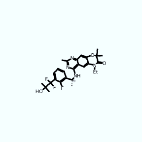 CCN1C(=O)C(C)(C)Oc2cc3nc(C)nc(N[C@H](C)c4cccc(C(F)(F)C(C)(C)O)c4F)c3cc21